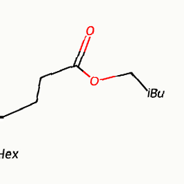 CCCCCCCCCC(=O)OCC(C)CC